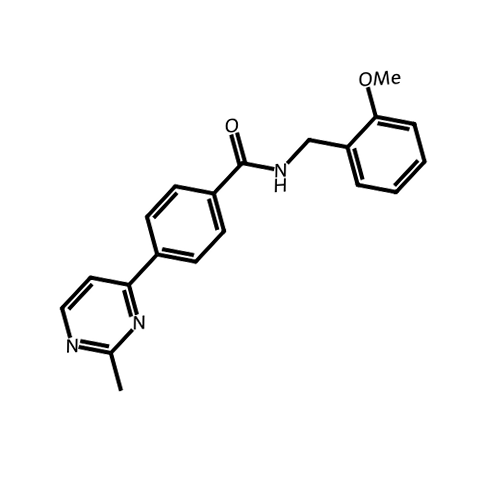 COc1ccccc1CNC(=O)c1ccc(-c2ccnc(C)n2)cc1